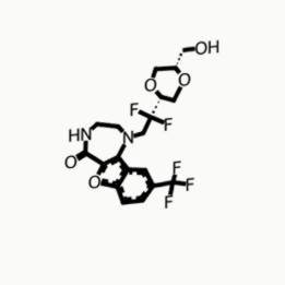 O=C1NCCN(CC(F)(F)[C@H]2CO[C@@H](CO)CO2)c2c1oc1ccc(C(F)(F)F)cc21